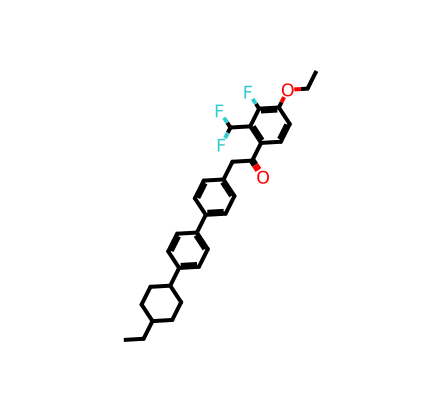 CCOc1ccc(C(=O)Cc2ccc(-c3ccc(C4CCC(CC)CC4)cc3)cc2)c(C(F)F)c1F